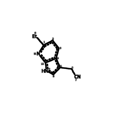 CCc1ccc2c(CC#N)c[nH]c2n1